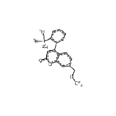 [2H]C([2H])([2H])c1ccccc1-c1cc(=O)oc2cc(COC(F)(F)F)ccc12